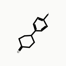 O=C1CCC(c2ccc(I)cc2)CC1